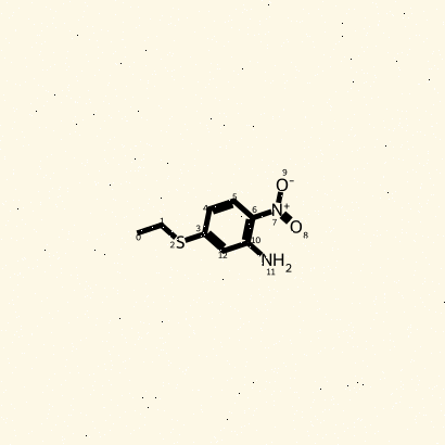 CCSc1ccc([N+](=O)[O-])c(N)c1